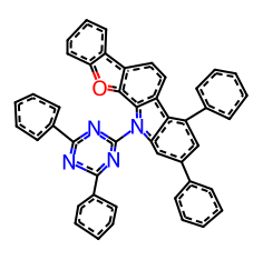 c1ccc(-c2cc(-c3ccccc3)c3c4ccc5c6ccccc6oc5c4n(-c4nc(-c5ccccc5)nc(-c5ccccc5)n4)c3c2)cc1